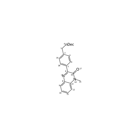 CCCCCCCCCCCc1ccc(-c2nc3ccccc3n(C)c2=O)cc1